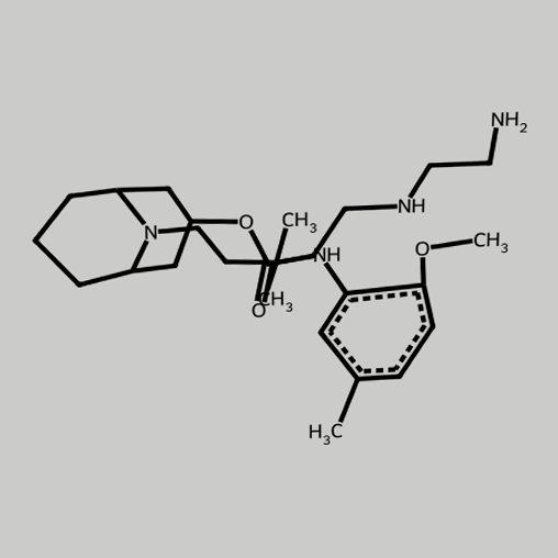 COc1ccc(C)cc1NC(=O)OC1CC2CCCC(C1)N2CCC(C)(C)CCNCCN